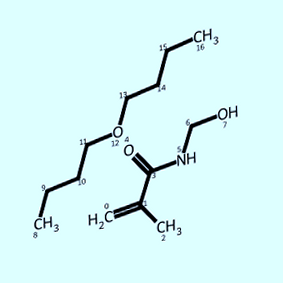 C=C(C)C(=O)NCO.CCCCOCCCC